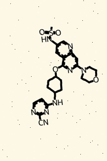 CS(=O)(=O)Nc1cnc2cc(N3CCOCC3)nc(OC3CCC(Nc4ccnc(C#N)n4)CC3)c2c1